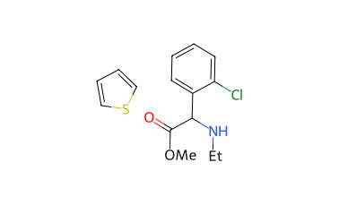 CCNC(C(=O)OC)c1ccccc1Cl.c1ccsc1